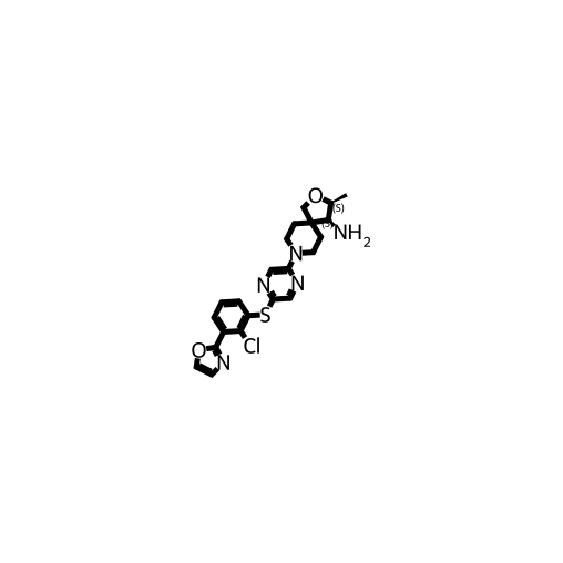 C[C@@H]1OCC2(CCN(c3cnc(Sc4cccc(-c5ncco5)c4Cl)cn3)CC2)[C@@H]1N